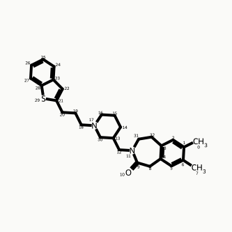 Cc1cc2c(cc1C)CC(=O)N(CC1CCCN(CCCc3cc4ccccc4s3)C1)CC2